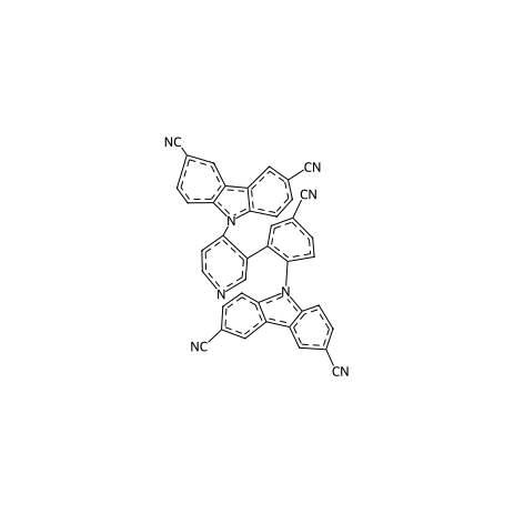 N#Cc1ccc(-n2c3ccc(C#N)cc3c3cc(C#N)ccc32)c(-c2cnccc2-n2c3ccc(C#N)cc3c3cc(C#N)ccc32)c1